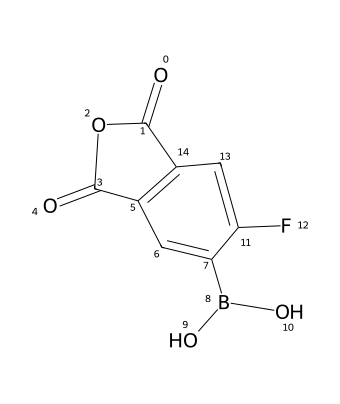 O=C1OC(=O)c2cc(B(O)O)c(F)cc21